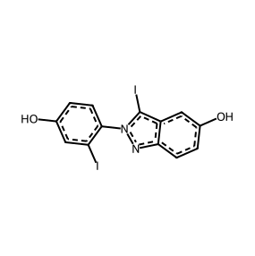 Oc1ccc(-n2nc3ccc(O)cc3c2I)c(I)c1